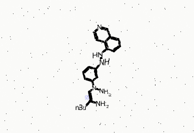 CCCC/C(N)=C/N(N)c1cccc(NNc2cccc3cnccc23)c1